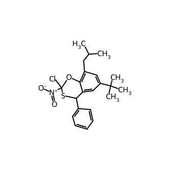 CC(C)Cc1cc(C(C)(C)C)cc2c1OC(Cl)([N+](=O)[O-])SC2c1ccccc1